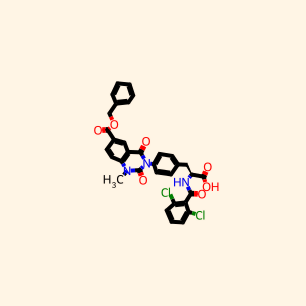 Cn1c(=O)n(-c2ccc(C[C@H](NC(=O)c3c(Cl)cccc3Cl)C(=O)O)cc2)c(=O)c2cc(C(=O)OCc3ccccc3)ccc21